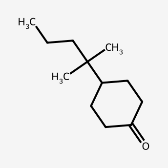 CCCC(C)(C)C1CCC(=O)CC1